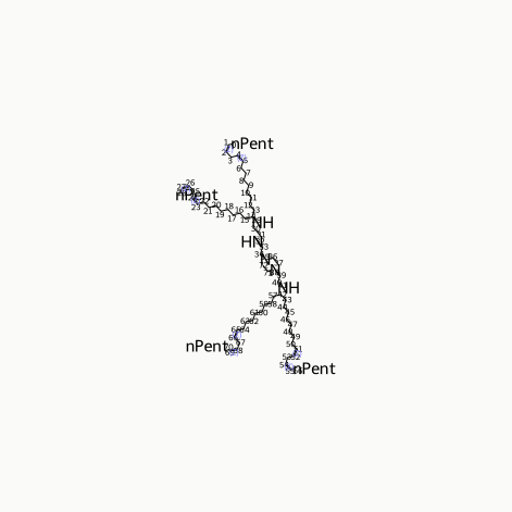 CCCCC/C=C\C/C=C\CCCCCCCCC(CCCCCCCC/C=C\C/C=C\CCCCC)NCCNCCN1CCN(CCNC(CCCCCCCC/C=C\C/C=C\CCCCC)CCCCCCCC/C=C\C/C=C\CCCCC)CC1